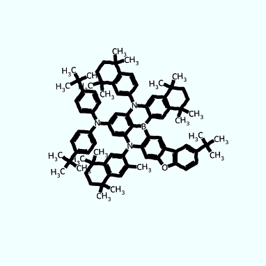 Cc1cc2c(cc1N1c3cc4oc5ccc(C(C)(C)C)cc5c4cc3B3c4cc5c(cc4N(c4ccc6c(c4)C(C)(C)CCC6(C)C)c4cc(N(c6ccc(C(C)(C)C)cc6)c6ccc(C(C)(C)C)cc6)cc1c43)C(C)(C)CCC5(C)C)C(C)(C)CCC2(C)C